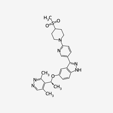 Cc1cnnc(C)c1[C@H](C)Oc1ccc2[nH]nc(-c3ccc(N4CCC(S(C)(=O)=O)CC4)nc3)c2c1